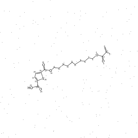 C=C(C)C(=O)OCCCCCCCCCCOC(=O)c1ccc(C(=O)O)s1